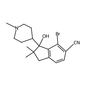 CN1CCC(C2(O)c3c(ccc(C#N)c3Br)CC2(C)C)CC1